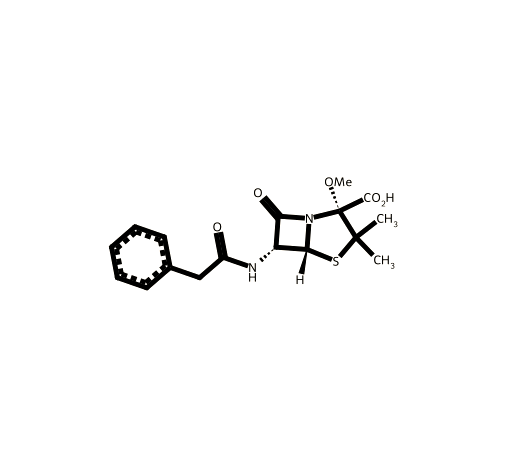 CO[C@@]1(C(=O)O)N2C(=O)[C@@H](NC(=O)Cc3ccccc3)[C@H]2SC1(C)C